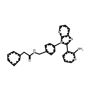 Nc1ncccc1-c1nc2cccnc2n1-c1ccc(CNC(=O)Cc2ccccc2)cc1